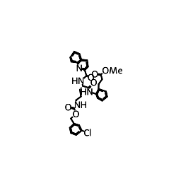 COC(=O)CCc1ccccc1NC(=O)[C@H](CCCNC(=O)OCc1cccc(Cl)c1)NC(=O)c1ccc2ccccc2n1